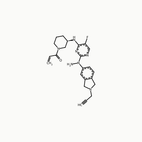 C#CCN1Cc2ccc(N(N)c3ncc(F)c(N[C@@H]4CCCN(C(=O)C=C)C4)n3)cc2C1